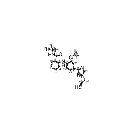 [2H]C([2H])([2H])NC(=O)c1nnccc1Nc1ccc(-c2ncn(CC#C)n2)cc1OC(F)F